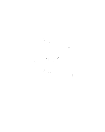 COC(=O)[C@H](Cc1cc(F)ccc1F)N(Sc1ccccc1N)C(=O)OCc1ccccc1